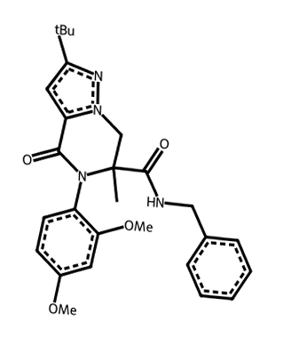 COc1ccc(N2C(=O)c3cc(C(C)(C)C)nn3CC2(C)C(=O)NCc2ccccc2)c(OC)c1